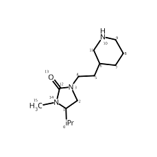 CC(C)C1CN(CCC2CCCNC2)C(=O)N1C